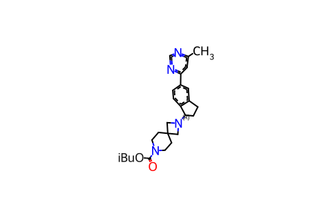 Cc1cc(-c2ccc3c(c2)CC[C@H]3N2CC3(CCN(C(=O)OCC(C)C)CC3)C2)ncn1